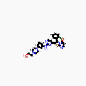 O=c1ccnc2sc(-c3ccnc(Nc4cccc(N5CCN(CCO)CC5)c4)n3)c(-c3ccccc3Cl)n12